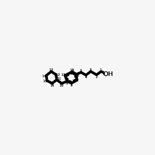 OCCCCCc1ccc(CC2CCCCC2)cc1